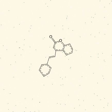 O=c1cc(C=Cc2ccccc2)c2ccccc2o1